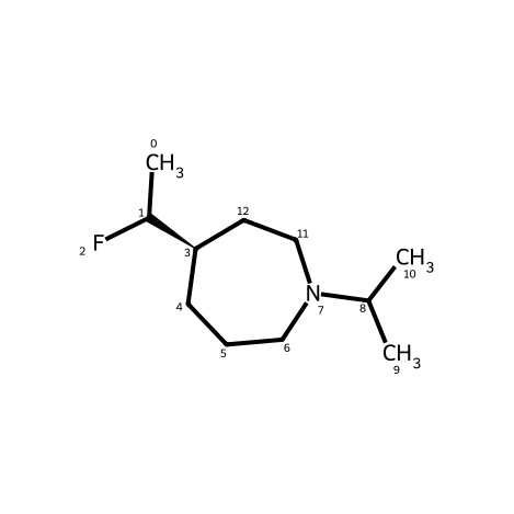 CC(F)[C@@H]1CCCN(C(C)C)CC1